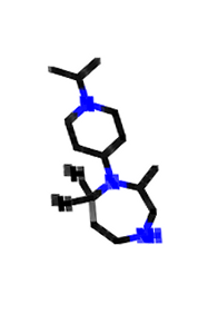 [2H]C1([2H])CCNCC(C)N1C1CCN(C(C)C)CC1